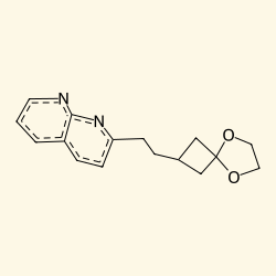 c1cnc2nc(CCC3CC4(C3)OCCO4)ccc2c1